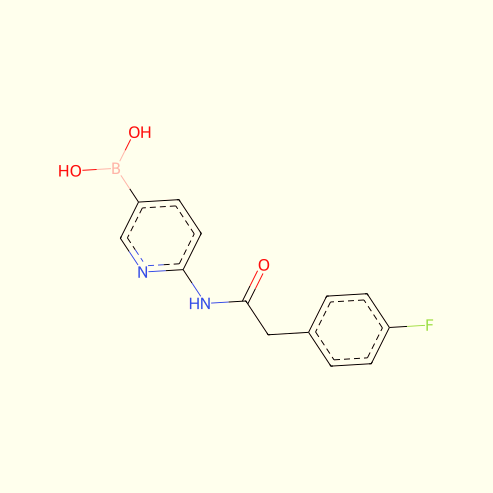 O=C(Cc1ccc(F)cc1)Nc1ccc(B(O)O)cn1